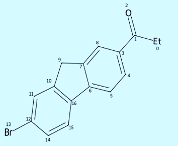 CCC(=O)c1ccc2c(c1)Cc1cc(Br)ccc1-2